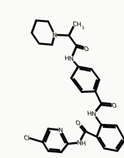 CC(C(=O)Nc1ccc(C(=O)Nc2ccccc2C(=O)Nc2ccc(Cl)cn2)cc1)N1CCCCC1